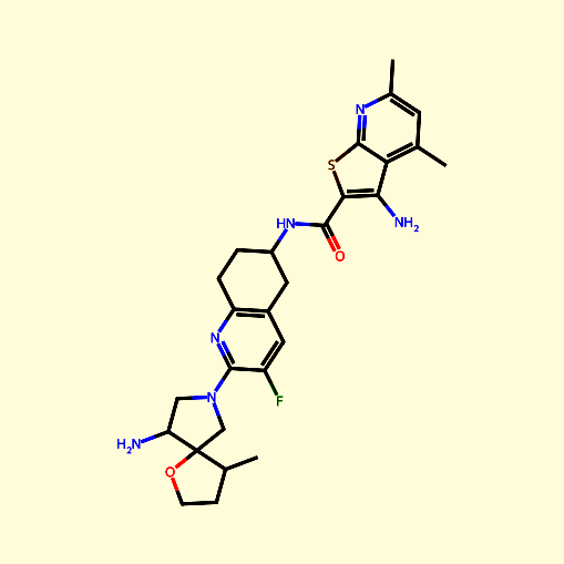 Cc1cc(C)c2c(N)c(C(=O)NC3CCc4nc(N5CC(N)C6(C5)OCCC6C)c(F)cc4C3)sc2n1